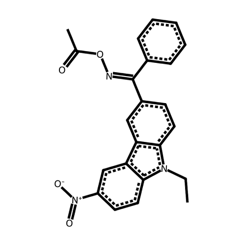 CCn1c2ccc(C(=NOC(C)=O)c3ccccc3)cc2c2cc([N+](=O)[O-])ccc21